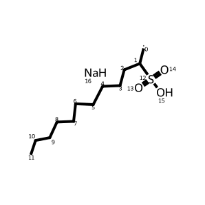 [CH2]C(CCCCCCCCCC)S(=O)(=O)O.[NaH]